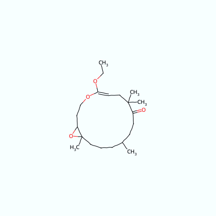 CCO/C1=C\CC(C)(C)C(=O)CCC(C)CCCC2(C)OC2CCO1